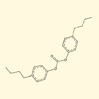 CCCCc1ccc(OC(=O)Oc2ccc(CCCC)cc2)cc1